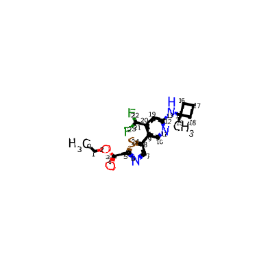 CCOC(=O)c1ncc(-c2cnc(NC3(C)CCC3)cc2C(F)F)s1